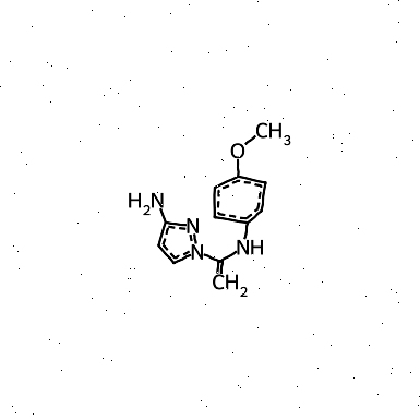 C=C(Nc1ccc(OC)cc1)n1ccc(N)n1